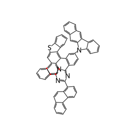 c1ccc(-c2nc(-c3ccc(-n4c5ccccc5c5cc6ccccc6cc54)cc3-c3c4ccccc4cc4sc5ccccc5c34)nc(-c3cccc4c3ccc3ccccc34)n2)cc1